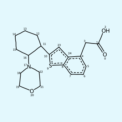 O=C(O)Cc1cccc2sc(C3CCCCC3N3CCOCC3)cc12